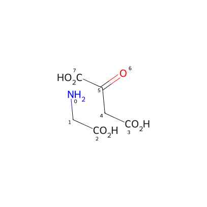 NCC(=O)O.O=C(O)CC(=O)C(=O)O